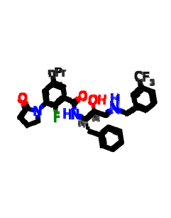 CCCc1cc(C(=O)N[C@@H](Cc2ccccc2)[C@@H](O)CNCc2cccc(C(F)(F)F)c2)c(F)c(N2CCCC2=O)c1